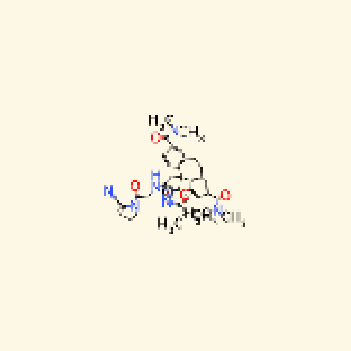 CC(C)c1nnc(C2(C[C@H](C)NCC(=O)N3CCC[C@H]3C#N)c3ccc(C(=O)N(C)C)cc3CCc3cc(C(=O)N(C)C)ccc32)o1